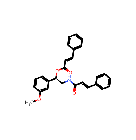 COc1cccc([C@H](CNC(=O)/C=C/c2ccccc2)OC(=O)/C=C/c2ccccc2)c1